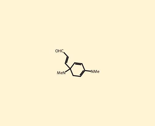 CNC1=CCC(C=CC=O)(NC)C=C1